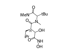 CNC(=O)C(N(C)C(=O)[C@H](CC(C)C)C(O)C(=O)NO)C(C)(C)C